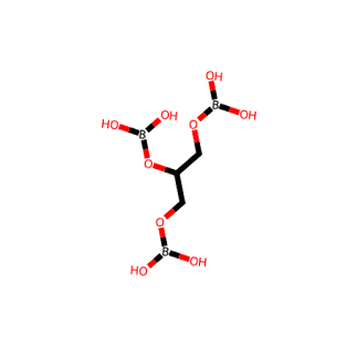 OB(O)OCC(COB(O)O)OB(O)O